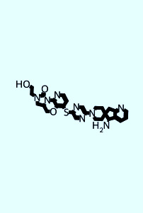 N[C@@H]1c2cccnc2CC12CCN(c1cnc(Sc3ccnc4c3OCC3CN(CCO)C(=O)N43)cn1)CC2